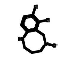 [O-][S+]1CCCNc2ccc(Cl)c(Cl)c2C1